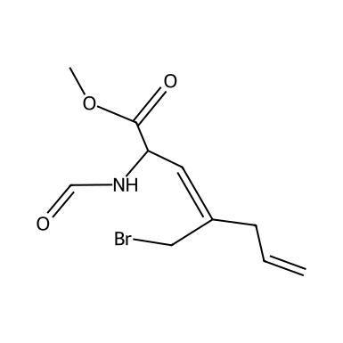 C=CCC(=CC(NC=O)C(=O)OC)CBr